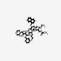 CCCC[C@H](NC(=O)[C@H](Cc1cccc2ccccc12)CS(=O)(=O)C/C(COC(C)=O)=N/OC)C(=O)N[C@@H](CC1CCCCC1)[C@@H](O)[C@@H](O)CN1CCOCC1